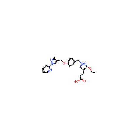 CCOc1nn(Cc2ccc(OCc3cn(-c4ccccn4)nc3C)cc2)cc1CCC(=O)O